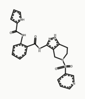 O=C(Nc1ccccc1C(=O)Nc1n[nH]c2c1CN(S(=O)(=O)c1cccnc1)CC2)c1ccc[nH]1